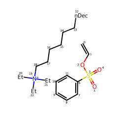 C=COS(=O)(=O)c1ccccc1.CCCCCCCCCCCCCCCC[N+](CC)(CC)CC